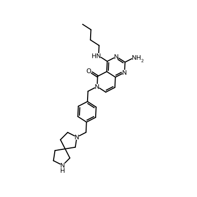 CCCCNc1nc(N)nc2ccn(Cc3ccc(CN4CCC5(CCNC5)C4)cc3)c(=O)c12